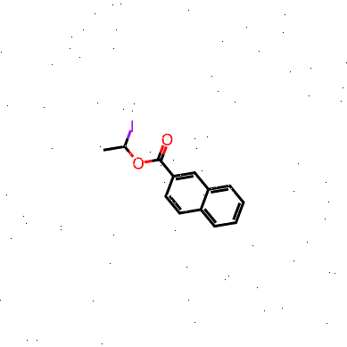 CC(I)OC(=O)c1ccc2ccccc2c1